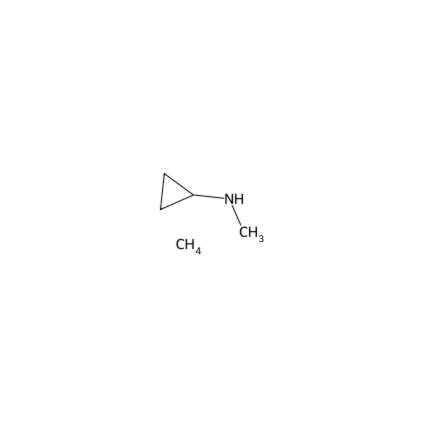 C.CNC1CC1